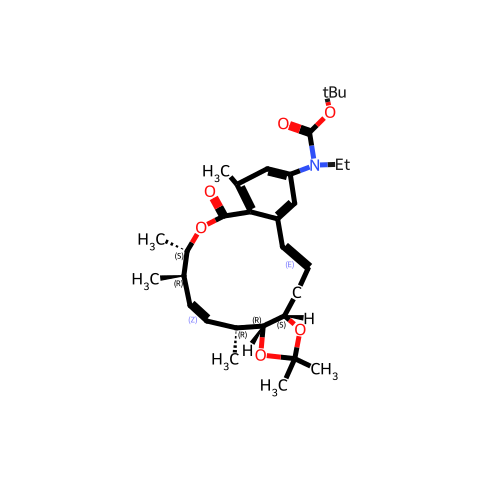 CCN(C(=O)OC(C)(C)C)c1cc(C)c2c(c1)/C=C/C[C@@H]1OC(C)(C)O[C@@H]1[C@H](C)/C=C\[C@@H](C)[C@H](C)OC2=O